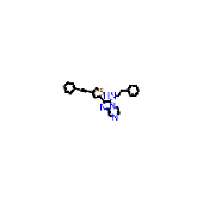 C(#Cc1csc(-c2nc3cnccn3c2NCCc2ccccc2)c1)c1ccccc1